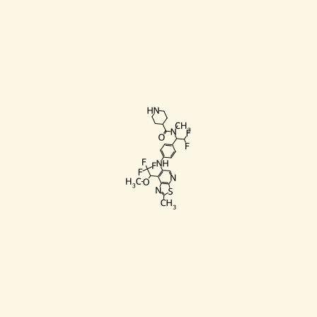 COC(c1c(Nc2ccc(C(C(F)F)N(C)C(=O)C3CCNCC3)cc2)cnc2sc(C)nc12)C(F)(F)F